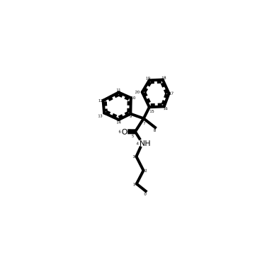 CCCCNC(=O)C(C)(c1ccccc1)c1ccccc1